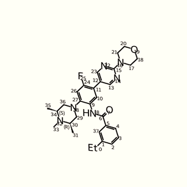 CCc1cccc(C(=O)Nc2cc(-c3cnc(N4CCOCC4)nc3)c(F)cc2N2C[C@@H](C)N(C)[C@@H](C)C2)c1